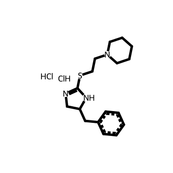 Cl.Cl.c1ccc(CC2CN=C(SCCN3CCCCC3)N2)cc1